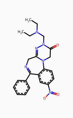 CCN(CC)CN1N=C2CN=C(c3ccccc3)c3cc([N+](=O)[O-])ccc3N2CC1=O